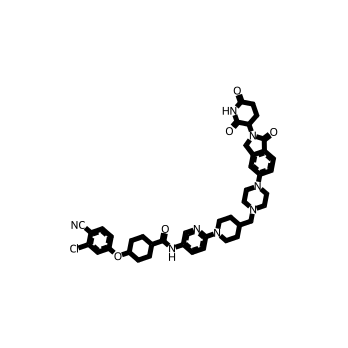 N#Cc1ccc(OC2CCC(C(=O)Nc3ccc(N4CCC(CN5CCN(c6ccc7c(c6)CN(C6CCC(=O)NC6=O)C7=O)CC5)CC4)nc3)CC2)cc1Cl